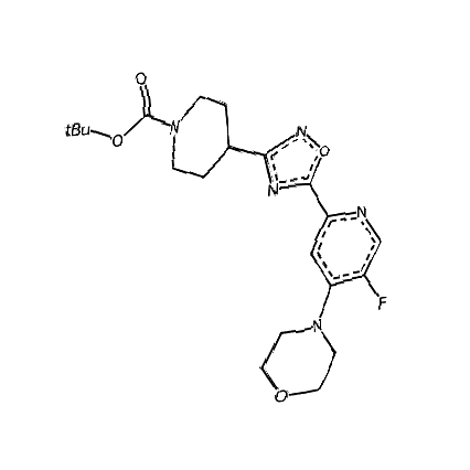 CC(C)(C)OC(=O)N1CCC(c2noc(-c3cc(N4CCOCC4)c(F)cn3)n2)CC1